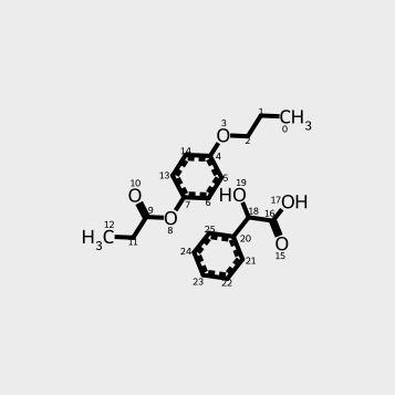 CCCOc1ccc(OC(=O)CC)cc1.O=C(O)C(O)c1ccccc1